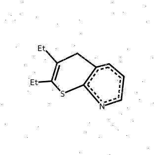 CCC1=C(CC)Sc2ncccc2C1